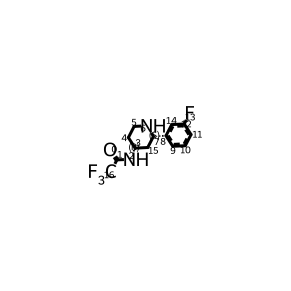 O=C(N[C@@H]1CCN[C@H](c2cccc(F)c2)C1)C(F)(F)F